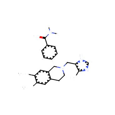 CCN(CC)C(=O)c1ccc([C@H]2c3cc(OC)c(OC)cc3CCN2Cc2[nH]cnc2C)cc1